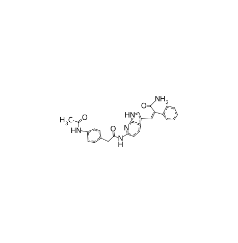 CC(=O)Nc1ccc(CC(=O)Nc2ccc3c(C=C(C(N)=O)c4ccccc4)c[nH]c3n2)cc1